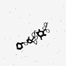 COCOC(=O)c1c(C)c(C)c(OC(=O)c2c(C)cc(OCc3ccccc3)cc2OC)c(F)c1C